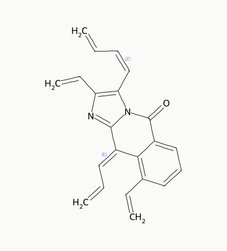 C=C/C=C\c1c(C=C)nc2/c(=C/C=C)c3c(C=C)cccc3c(=O)n12